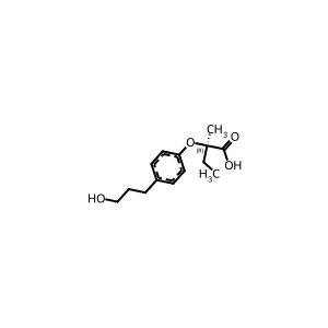 CC[C@@](C)(Oc1ccc(CCCO)cc1)C(=O)O